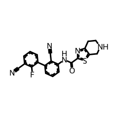 N#Cc1cccc(-c2cccc(NC(=O)c3nc4c(s3)CNCC4)c2C#N)c1F